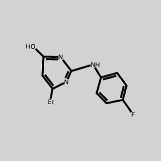 CCc1cc(O)nc(Nc2ccc(F)cc2)n1